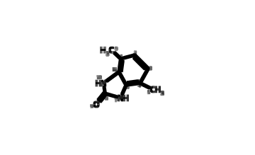 Cc1ccc(C)c2[nH]c(=O)[nH]c12